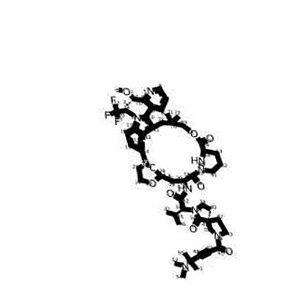 CO[C@@H](C)c1ncccc1-c1c2c3cc(ccc3n1CC(F)(F)F)N1CCO[C@@H](C[C@H](NC(=O)[C@H](C(C)C)N3CC[C@@]4(CCN(C(=O)C#CC(C)(C)N(C)C)C4)C3=O)C(=O)N3CCCC(N3)C(=O)OCC(C)(C)C2)C1